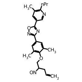 C=CCC(COc1c(C)cc(-c2noc(-c3cnc(CCC)c(C)c3)n2)cc1C)N=O